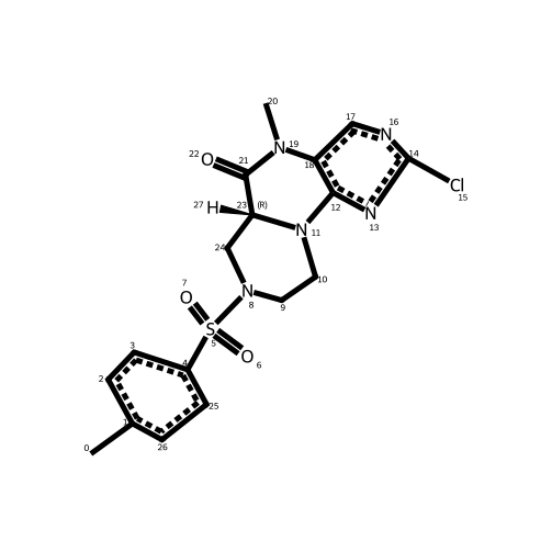 Cc1ccc(S(=O)(=O)N2CCN3c4nc(Cl)ncc4N(C)C(=O)[C@H]3C2)cc1